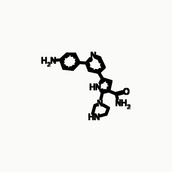 NC(=O)c1cc(-c2ccnc(-c3ccc(N)cc3)c2)[nH]c1N1CCNCC1